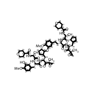 COc1ccc(C[C@H](NC(=O)[C@@H](C)NC(=O)C2CCOCC2)C(=O)N[C@@H](CC2CCCC2Oc2cc(CC[C@H](NC(=O)[C@@H](C)NC(=O)C3CCOCC3)C(=O)N[C@@H](CC3=CCCC3)C(=O)[C@@]3(C)CO3)ccc2OC)C(=O)[C@@]2(C)CO2)cc1O